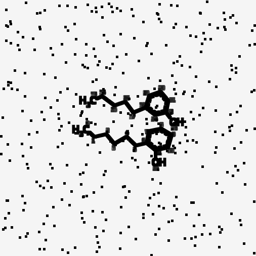 CCCCCCc1ccccc1O.CCCCCc1cccc(O)c1